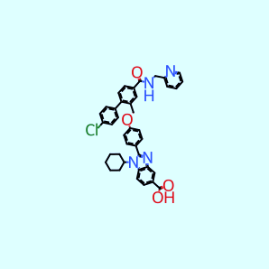 O=C(O)c1ccc2c(c1)nc(-c1ccc(OCc3cc(C(=O)NCc4ccccn4)ccc3-c3ccc(Cl)cc3)cc1)n2C1CCCCC1